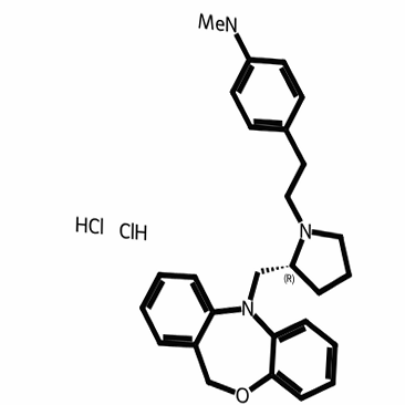 CNc1ccc(CCN2CCC[C@@H]2CN2c3ccccc3COc3ccccc32)cc1.Cl.Cl